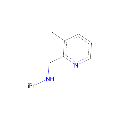 Cc1cccnc1CNC(C)C